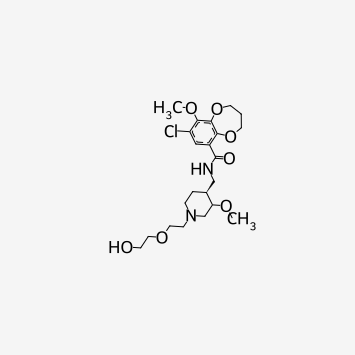 COc1c(Cl)cc(C(=O)NC[C@@H]2CCN(CCOCCO)CC2OC)c2c1OCCCO2